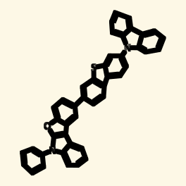 c1ccc(-n2c3ccccc3c3c4cc(-c5ccc6c(c5)sc5cc(-n7c8ccccc8c8ccccc87)ccc56)ccc4oc32)cc1